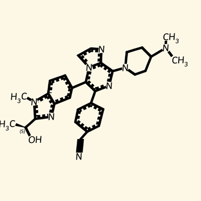 C[C@H](O)c1nc2cc(-c3c(-c4ccc(C#N)cc4)nc(N4CCC(N(C)C)CC4)c4nccn34)ccc2n1C